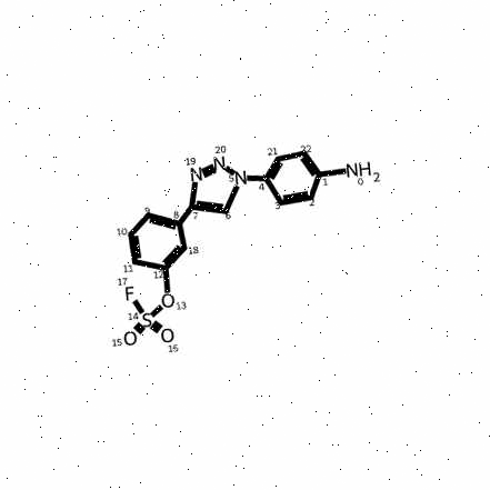 Nc1ccc(-n2cc(-c3cccc(OS(=O)(=O)F)c3)nn2)cc1